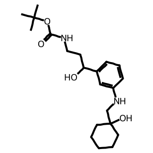 CC(C)(C)OC(=O)NCCC(O)c1cccc(NCC2(O)CCCCC2)c1